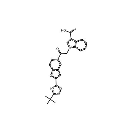 CC(C)(C)c1csc(-c2cc3cc(C(=O)Cn4cc(C(=O)O)c5ccccc54)ccc3o2)n1